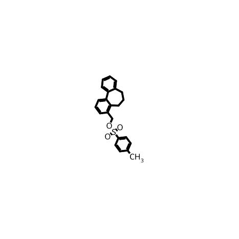 Cc1ccc(S(=O)(=O)OCc2cccc3c2CCCc2ccccc2-3)cc1